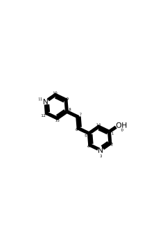 Oc1cncc(C=Cc2ccncc2)c1